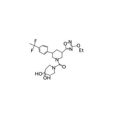 CCOc1noc(C2CC(c3ccc(C(C)(F)F)cc3)CN(C(=O)N3CCS(O)(O)CC3)C2)n1